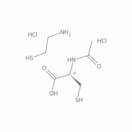 CC(=O)N[C@@H](CS)C(=O)O.Cl.Cl.NCCS